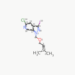 C[SiH](C)CCOCn1nc(I)c2cc(Cl)ncc21